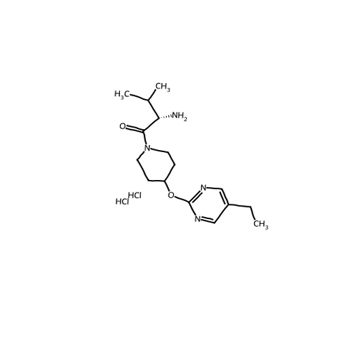 CCc1cnc(OC2CCN(C(=O)[C@@H](N)C(C)C)CC2)nc1.Cl.Cl